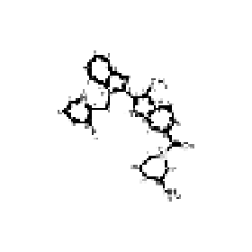 Cc1c(-c2cc3ccccc3n2Cc2ncccc2F)nc2cc(C(=O)N3CCCC(N)C3)ccn12